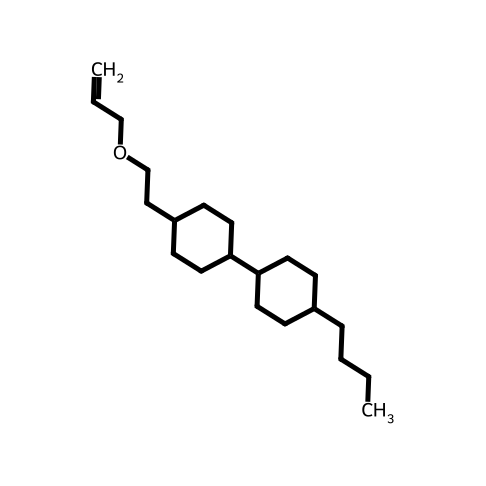 C=CCOCCC1CCC(C2CCC(CCCC)CC2)CC1